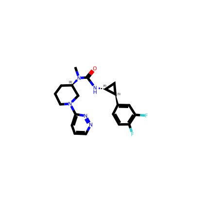 CN(C(=O)N[C@@H]1C[C@H]1c1ccc(F)c(F)c1)[C@@H]1CCCN(c2cccnn2)C1